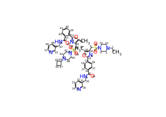 CCN1CCN(S(=O)(=O)Cc2nc(-c3ccc(C(=O)NCc4cccnc4)cc3)oc2C)CC1.Cc1oc(-c2ccccc2C(=O)NCc2cccnc2)nc1CS(=O)(=O)N1CCN(C2CCC2)CC1